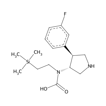 C[Si](C)(C)CCN(C(=O)O)[C@H]1CNC[C@@H]1c1cccc(F)c1